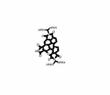 CCCCCCC(CCCCCC)n1c(=O)c2ccc3c4ccc5c(=O)n(C(CCCCCC)CCCCCC)c(=O)c6cc7c8c(=O)[nH]c(=O)c8c8cc(c1=O)c2c3c8c7c4c56